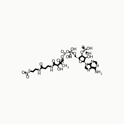 CC(C)(COP(=O)(O)OP(=O)(O)OC[C@H]1O[C@@H](n2cnc3c(N)ncnc32)[C@H](O)[C@@H]1OP(=O)(O)O)[C@@H](O)C(=O)NCCC(=O)NCCS[N+](=O)[O-]